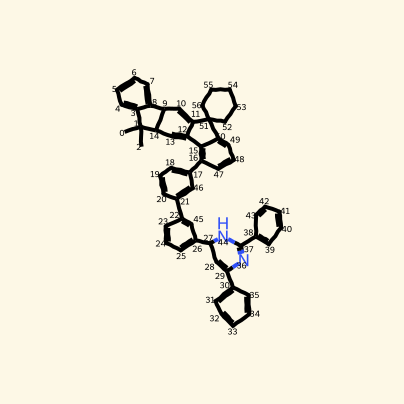 CC1(C)c2ccccc2C2C=C3C(=CC21)c1c(-c2cccc(-c4cccc(C5C=C(c6ccccc6)N=C(c6ccccc6)N5)c4)c2)cccc1C31CCCCC1